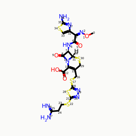 CO/N=C(\C(=O)N[C@@H]1C(=O)N2C(C(=O)O)=C(CSc3nnc(SCCC(=N)N)s3)CS[C@@H]12)c1csc(N)n1